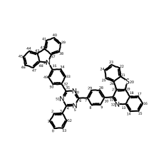 c1ccc(-c2nc(-c3ccc(-c4nc5ccccc5c5sc6ccccc6c45)cc3)nc(-c3ccc(-n4c5ccccc5c5ccccc54)cc3)n2)cc1